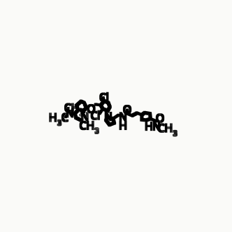 CNC(=O)c1ccc(C=CC(=O)NCc2cccn2-c2ccc(Cl)c(COc3cccc4c(N(C)C)cc(C)nc34)c2Cl)cc1